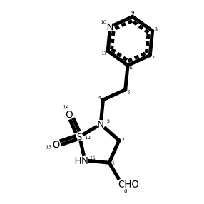 O=CC1CN(CCc2cccnc2)S(=O)(=O)N1